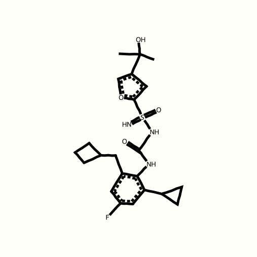 CC(C)(O)c1coc(S(=N)(=O)NC(=O)Nc2c(CC3CCC3)cc(F)cc2C2CC2)c1